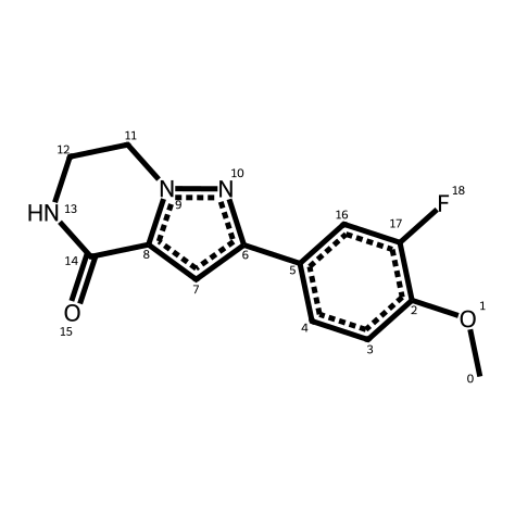 COc1ccc(-c2cc3n(n2)CCNC3=O)cc1F